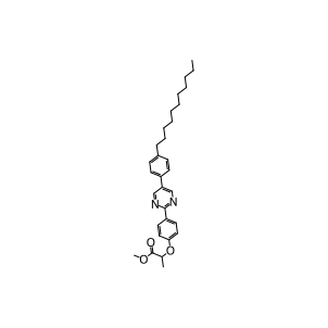 CCCCCCCCCCCc1ccc(-c2cnc(-c3ccc(OC(C)C(=O)OC)cc3)nc2)cc1